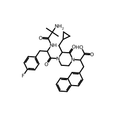 CC(C)(N)C(=O)NC(Cc1ccc(F)cc1)C(=O)N1CCN(C(Cc2ccc3ccccc3c2)C(=O)O)C(=O)C1CC1CC1